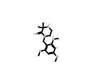 COc1cc(OC)c(CN2CCOC(C)(C)C2=O)c(OC)c1